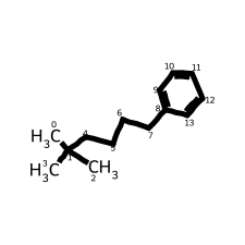 CC(C)(C)CCCCc1ccccc1